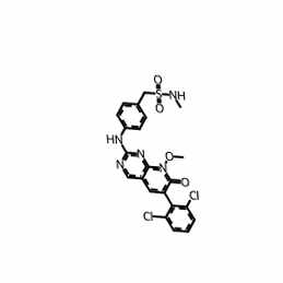 CNS(=O)(=O)Cc1ccc(Nc2ncc3cc(-c4c(Cl)cccc4Cl)c(=O)n(OC)c3n2)cc1